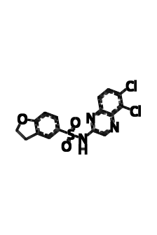 O=S(=O)(Nc1cnc2c(Cl)c(Cl)ccc2n1)c1ccc2c(c1)CCO2